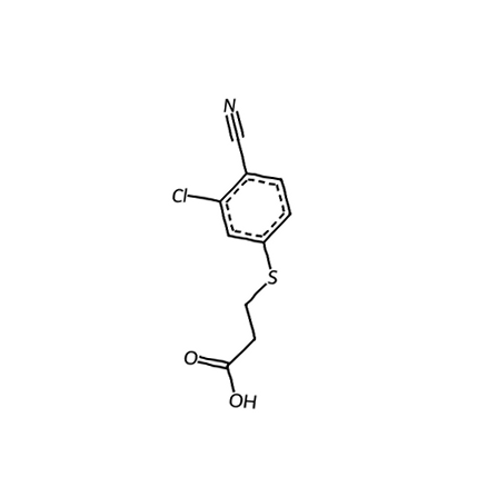 N#Cc1ccc(SCCC(=O)O)cc1Cl